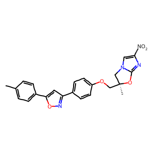 Cc1ccc(-c2cc(-c3ccc(OC[C@@]4(C)Cn5cc([N+](=O)[O-])nc5O4)cc3)no2)cc1